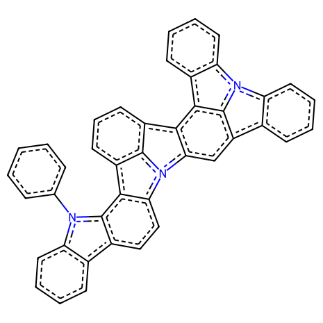 c1ccc(-n2c3ccccc3c3ccc4c(c5cccc6c7c8c9ccccc9n9c%10ccccc%10c(cc7n4c65)c89)c32)cc1